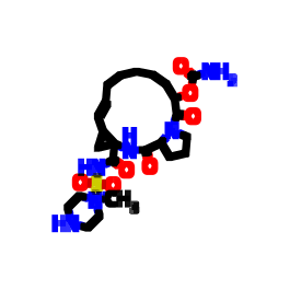 C[N+]1(S(=O)(=O)NC(=O)C23CC2/C=C/CCCCCC(OC(N)=O)C(=O)N2CCCC2C(=O)N3)CCNCC1